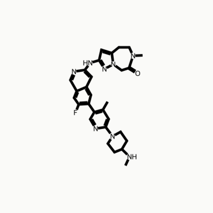 CNC1CCN(c2cc(C)c(-c3cc4cc(Nc5cc6n(n5)CC(=O)N(C)CC6)ncc4cc3F)cn2)CC1